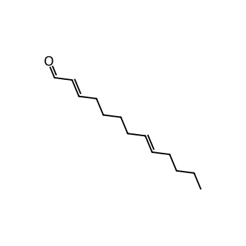 CCCC/C=C/CCCC/C=C/C=O